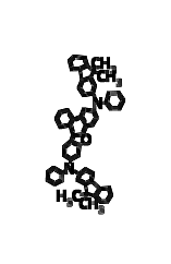 CC1(C)c2ccccc2-c2ccc(N(c3ccccc3)c3ccc4c(c3)oc3c5ccc(N(c6ccccc6)c6ccc7c(c6)C(C)(C)c6ccccc6-7)cc5c5ccccc5c43)cc21